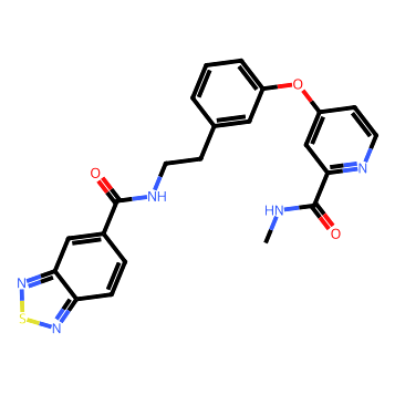 CNC(=O)c1cc(Oc2cccc(CCNC(=O)c3ccc4nsnc4c3)c2)ccn1